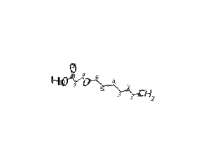 C=CCCCCCOCCC(=O)O